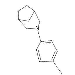 Cc1ccc(N2CC3CCC(C3)C2)cc1